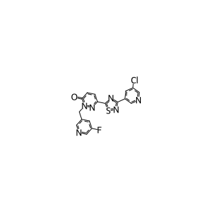 O=c1ccc(-c2nc(-c3cncc(Cl)c3)ns2)nn1Cc1cncc(F)c1